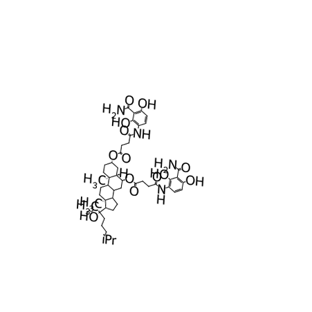 CC(C)CCC[C@](C)(O)C1CCC2C3C[C@H](OC(=O)CCC(=O)Nc4ccc(O)c(C(N)=O)c4O)[C@H]4C[C@@H](OC(=O)CCC(=O)Nc5ccc(O)c(C(N)=O)c5O)CC[C@]4(C)C3CC[C@@]21C